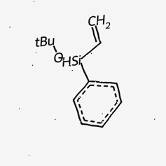 C=C[SiH](OC(C)(C)C)c1ccccc1